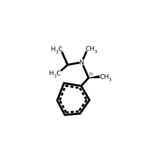 CC(C)N(C)[C@@H](C)c1ccccc1